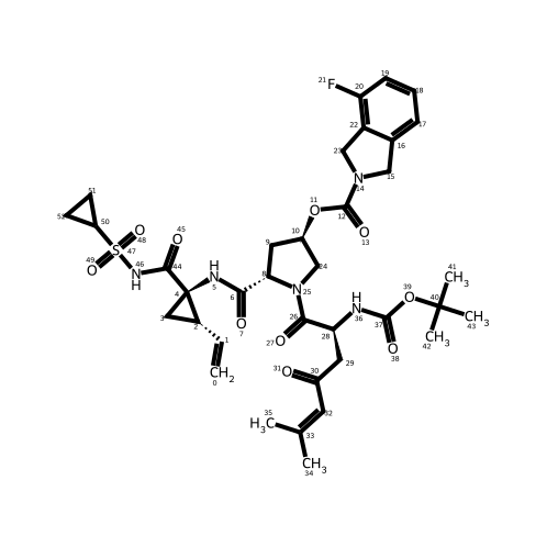 C=C[C@@H]1C[C@]1(NC(=O)[C@@H]1C[C@@H](OC(=O)N2Cc3cccc(F)c3C2)CN1C(=O)[C@H](CC(=O)C=C(C)C)NC(=O)OC(C)(C)C)C(=O)NS(=O)(=O)C1CC1